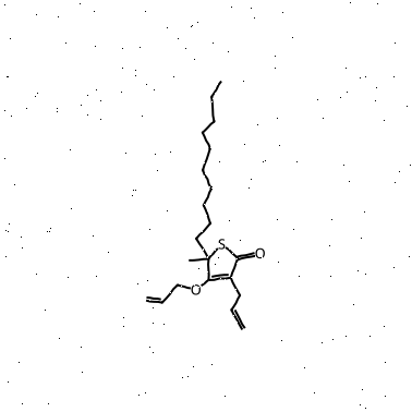 C=CCOC1=C(CC=C)C(=O)SC1(C)CCCCCCCCCC